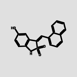 O=S1(=O)Nc2ccc(O)cc2C1=Cc1cccc2ccccc12